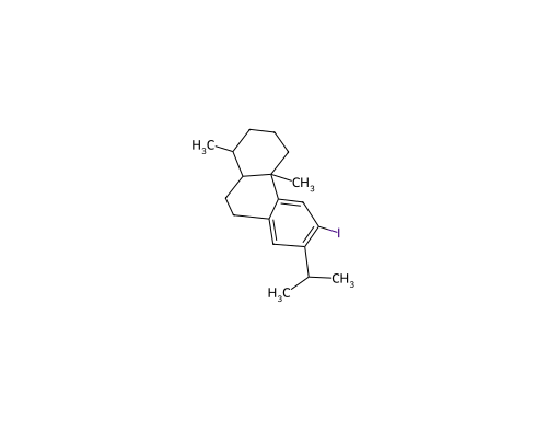 CC(C)c1cc2c(cc1I)C1(C)CCCC(C)C1CC2